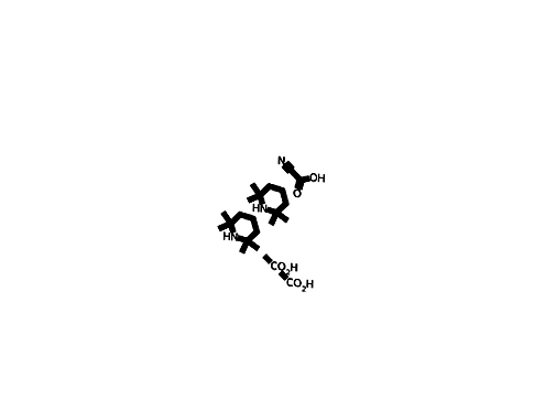 CC(=O)O.CC(=O)O.CC1(C)CCCC(C)(C)N1.CC1(C)CCCC(C)(C)N1.N#CC(=O)O